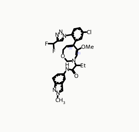 CCC(C(=O)Nc1ccc2nn(C)cc2c1)N1/C=C(OC)\C(c2cc(Cl)ccc2-n2cc(C(F)F)nn2)=C/COC1